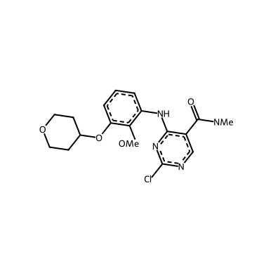 CNC(=O)c1cnc(Cl)nc1Nc1cccc(OC2CCOCC2)c1OC